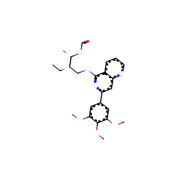 CC[C@H](CNc1nc(-c2cc(OC)c(OC)c(OC)c2)cc2ncccc12)[C@@H](C)NC=O